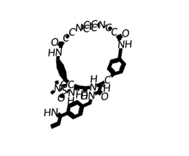 C=CC(=N)c1ccc(CNC(=O)[C@@H]2Cc3ccc(cc3)NC(=O)CCN3CCN(CCC(=O)Nc4ccc(cc4)C[C@@H](NS(=O)(=O)N(C)C)C(=O)N2)CC3)cc1